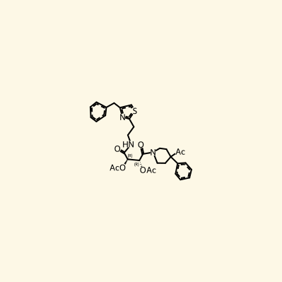 CC(=O)O[C@@H](C(=O)NCCc1nc(Cc2ccccc2)cs1)[C@@H](OC(C)=O)C(=O)N1CCC(C(C)=O)(c2ccccc2)CC1